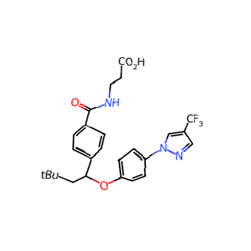 CC(C)(C)CC(Oc1ccc(-n2cc(C(F)(F)F)cn2)cc1)c1ccc(C(=O)NCCC(=O)O)cc1